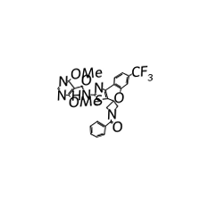 COc1ncnc(OC)c1C(=O)Nc1nc2c(s1)C1(CN(C(=O)c3ccccc3)C1)Oc1cc(C(F)(F)F)ccc1-2